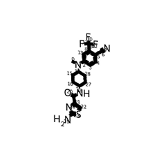 CN(c1ccc(C#N)c(C(F)(F)F)c1)[C@H]1CC[C@@H](NC(=O)c2csc(N)n2)CC1